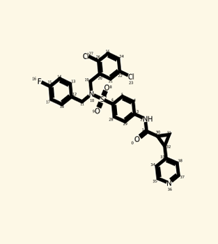 O=C(Nc1ccc(S(=O)(=O)N(Cc2ccc(F)cc2)Cc2cc(Cl)ccc2Cl)cc1)C1CC1c1ccncc1